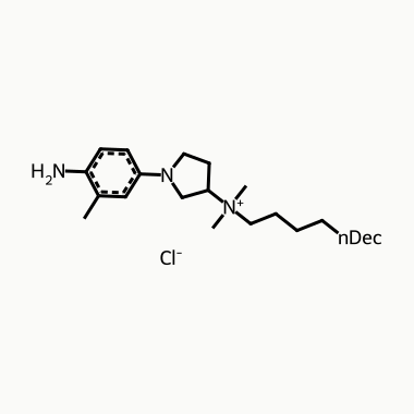 CCCCCCCCCCCCCC[N+](C)(C)C1CCN(c2ccc(N)c(C)c2)C1.[Cl-]